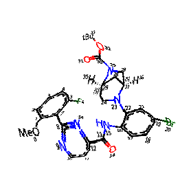 COc1cccc(F)c1-c1nccc(C(=O)Nc2ccc(Br)cc2N2C[C@@H]3C[C@H]2CN3C(=O)OC(C)(C)C)n1